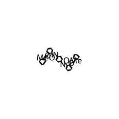 CO/C(=N\c1ccc(/N=C(\OC)c2ccccc2OCc2ccccc2)cc1)c1ccccc1OCc1ccccc1